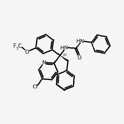 O=C(Nc1ccccc1)N[C@@](Cc1ccccc1)(c1cccc(OC(F)(F)F)c1)c1ccc(Cl)cn1